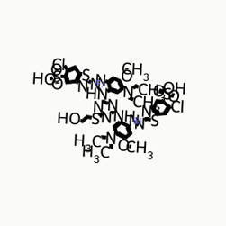 CCN(CC)c1cc(Nc2nc(Nc3cc(N(CC)CC)c(OC)cc3/N=N/c3nc4cc(S(=O)(=O)O)c(Cl)cc4s3)nc(SCCO)n2)c(/N=N/c2nc3cc(S(=O)(=O)O)c(Cl)cc3s2)cc1OC